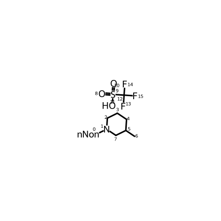 CCCCCCCCCN1CCCC(C)C1.O=S(=O)(O)C(F)(F)F